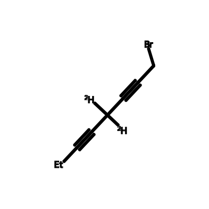 [2H]C([2H])(C#CCC)C#CCBr